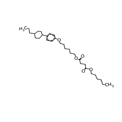 CCCCCCOC(=O)CCC(=O)OCCCCCCOc1ccc(C2CCC(CCC)CC2)cc1